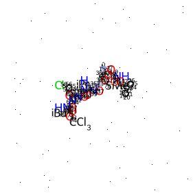 C/C=C(\C)[C@@H](OC(=O)C(C)(C)NC(=O)OCC1c2ccccc2-c2ccccc21)[C@@H](C)[C@H](C/C=C(\C)C(=O)N(C)[C@H](CC(C)C)C(=O)N[C@@H](C)C(=O)N(C)[C@H](Cc1ccc(Cl)cc1)C(=O)N(C)CC(=O)N[C@H](C(=O)OCC(Cl)(Cl)Cl)[C@H](C)CC)OCSC